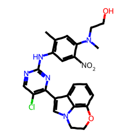 Cc1cc(N(C)CCO)c([N+](=O)[O-])cc1Nc1ncc(Cl)c(-c2cn3c4c(cccc24)OCC3)n1